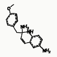 COc1ccc(CC2(N)C=Cc3cc(N)ccc3N2)cc1